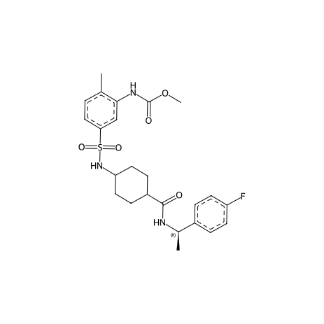 COC(=O)Nc1cc(S(=O)(=O)NC2CCC(C(=O)N[C@H](C)c3ccc(F)cc3)CC2)ccc1C